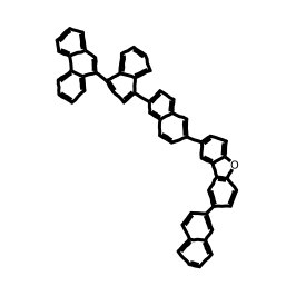 c1ccc2cc(-c3ccc4oc5ccc(-c6ccc7cc(-c8ccc(-c9cc%10ccccc%10c%10ccccc9%10)c9ccccc89)ccc7c6)cc5c4c3)ccc2c1